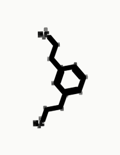 CCCc1c[c]cc(CCC)c1